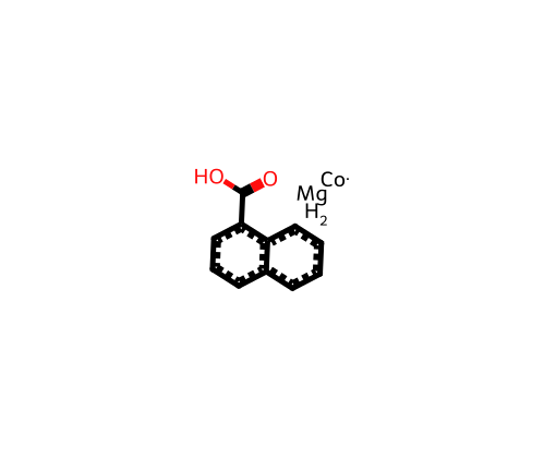 O=C(O)c1cccc2ccccc12.[Co].[MgH2]